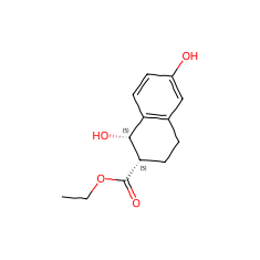 CCOC(=O)[C@H]1CCc2cc(O)ccc2[C@H]1O